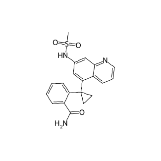 CS(=O)(=O)Nc1cc(C2(c3ccccc3C(N)=O)CC2)c2cccnc2c1